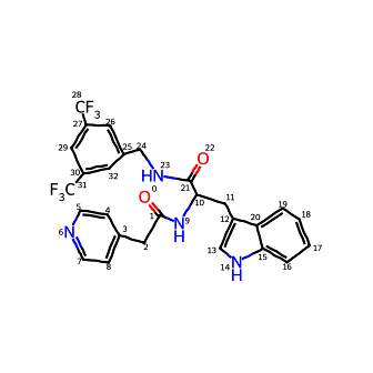 O=C(Cc1ccncc1)NC(Cc1c[nH]c2ccccc12)C(=O)NCc1cc(C(F)(F)F)cc(C(F)(F)F)c1